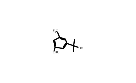 CC(C)(O)c1cc(C=O)cc(C(F)(F)F)c1